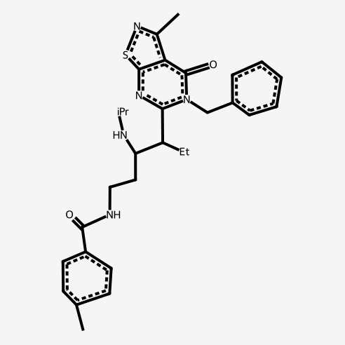 CCC(c1nc2snc(C)c2c(=O)n1Cc1ccccc1)C(CCNC(=O)c1ccc(C)cc1)NC(C)C